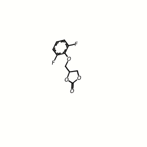 O=C1OCC(COc2c(F)cccc2F)O1